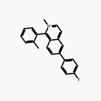 Cc1ccccc1-c1c2ccc(-c3ccc(F)cc3)cc2cc[n+]1C